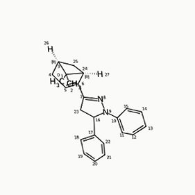 CC1(C)[C@H]2CC=C(C3=NN(c4ccccc4)C(c4ccccc4)C3)[C@@H]1C2